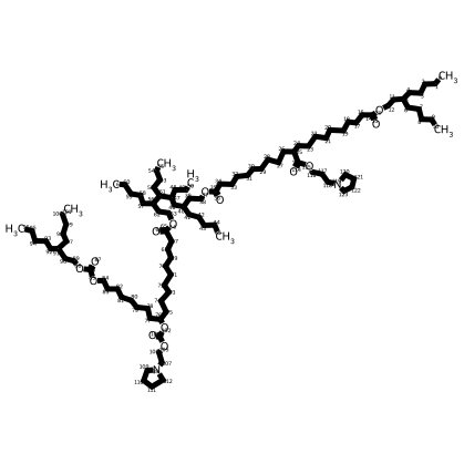 CCCCCC(CCCCC)CCOC(=O)CCCCCCCCCC(CCCCCCCCCC(=O)OCCC(CCCCC)CC(CCC)C(CCCC)C(CCCCC)CCOC(=O)CCCCCCCCCC(CCCCCCCCOC(=O)OCCC(CCCCC)CCCCC)OC(=O)OCCN1CCCC1)C(=O)OCCCN1CCCC1